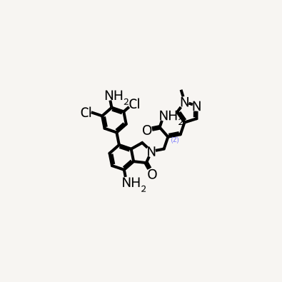 Cn1cc(/C=C(/CN2Cc3c(-c4cc(Cl)c(N)c(Cl)c4)ccc(N)c3C2=O)C(N)=O)cn1